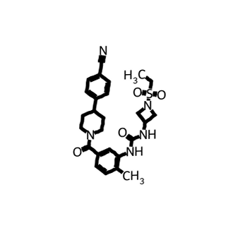 CCS(=O)(=O)N1CC(NC(=O)Nc2cc(C(=O)N3CCC(c4ccc(C#N)cc4)CC3)ccc2C)C1